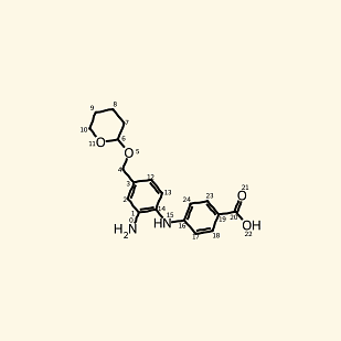 Nc1cc(COC2CCCCO2)ccc1Nc1ccc(C(=O)O)cc1